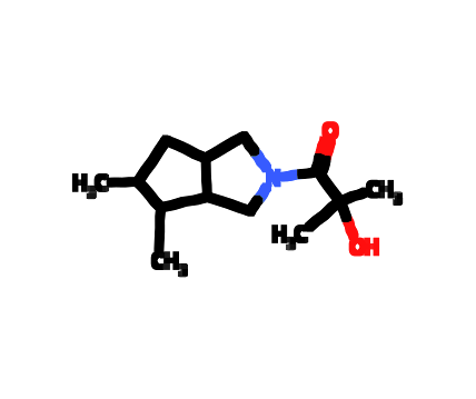 CC1CC2CN(C(=O)C(C)(C)O)CC2C1C